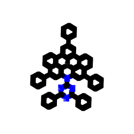 c1ccc(-c2cc3c4c(c2)-c2cccc5c(-c6ccccc6)cc6c(c25)B4c2c(cc(-c4ccccc4)c4cccc-3c24)N6c2nc(-c3ccccc3)nc(-c3ccccc3)n2)cc1